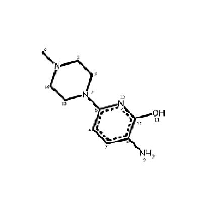 CN1CCN(c2ccc(N)c(O)n2)CC1